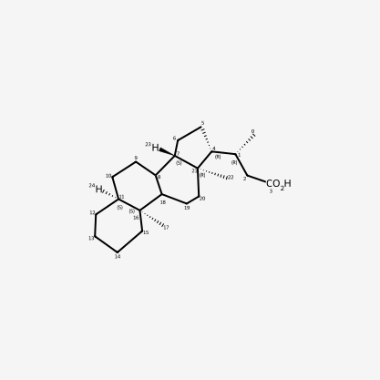 C[C@H](CC(=O)O)[C@H]1CC[C@H]2C3CC[C@@H]4CCCC[C@]4(C)C3CC[C@]12C